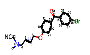 CN(CC#N)C/C=C/COc1ccc(C(=O)c2ccc(Br)cc2)cc1